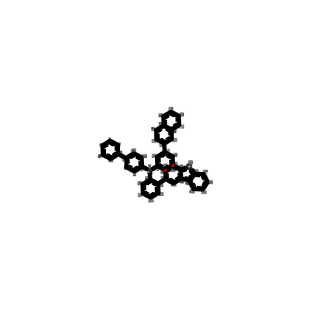 c1ccc(-c2ccc(N(c3cccc(-c4ccc5ccccc5c4)c3)c3ccccc3-c3ccc4oc5ccccc5c4c3)cc2)cc1